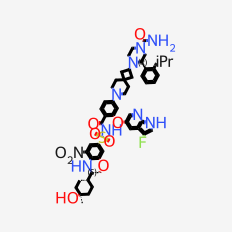 CC(C)c1ccccc1[C@@H]1CN(C(N)=O)CCN1C1CC2(CCN(c3ccc(C(=O)NS(=O)(=O)c4cc5c(c([N+](=O)[O-])c4)N[C@@H]([C@H]4CC[C@](C)(O)CC4)CO5)c(Oc4cnc5[nH]cc(F)c5c4)c3)CC2)C1